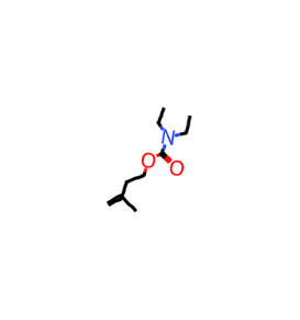 C=C(C)CCOC(=O)N(CC)CC